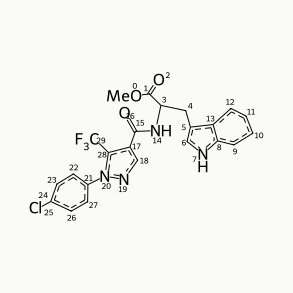 COC(=O)C(Cc1c[nH]c2ccccc12)NC(=O)c1cnn(-c2ccc(Cl)cc2)c1C(F)(F)F